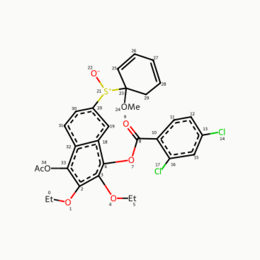 CCOc1c(OCC)c(OC(=O)c2ccc(Cl)cc2Cl)c2cc([S+]([O-])C3(OC)C=CC=CC3)ccc2c1OC(C)=O